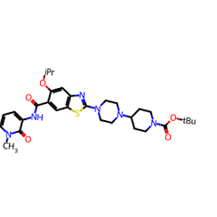 CC(C)Oc1cc2nc(N3CCN(C4CCN(C(=O)OC(C)(C)C)CC4)CC3)sc2cc1C(=O)Nc1cccn(C)c1=O